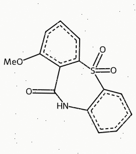 COc1cccc2c1C(=O)Nc1ccccc1S2(=O)=O